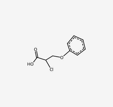 O=C(O)C(Cl)COc1ccccc1